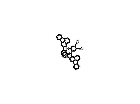 N#Cc1cc(-n2c3ccccc3c3cc4c5c(cccc5c32)-c2ccccc2-4)c(-n2c3ccccc3c3cc4c5c(cccc5c32)-c2ccccc2-4)cc1C#N